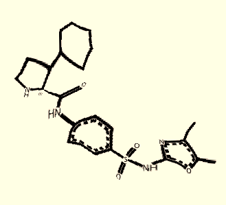 Cc1nc(NS(=O)(=O)c2ccc(NC(=O)[C@H]3NCCC3C3CCCCC3)cc2)oc1C